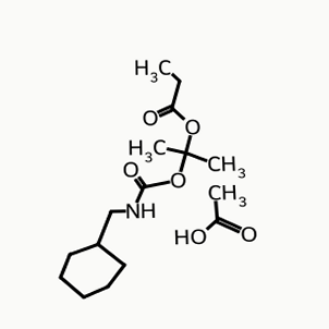 CC(=O)O.CCC(=O)OC(C)(C)OC(=O)NCC1CCCCC1